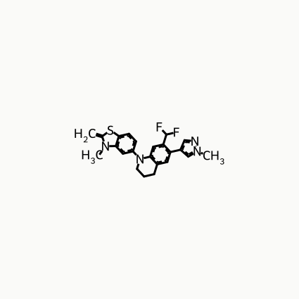 C=C1Sc2ccc(N3CCCc4cc(-c5cnn(C)c5)c(C(F)F)cc43)cc2N1C